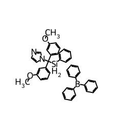 COc1cccc(C([SiH2]c2ccccc2)(c2cccc(OC)c2)n2ccnc2)c1.c1ccc(B(c2ccccc2)c2ccccc2)cc1